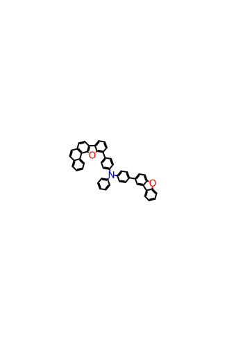 c1ccc(N(c2ccc(-c3ccc4oc5ccccc5c4c3)cc2)c2ccc(-c3cccc4c3oc3c4ccc4ccc5ccccc5c43)cc2)cc1